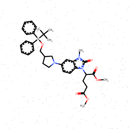 COC(=O)CCC(C(=O)OC)n1c(=O)n(C)c2cc(N3CCC(CO[Si](c4ccccc4)(c4ccccc4)C(C)(C)C)C3)ccc21